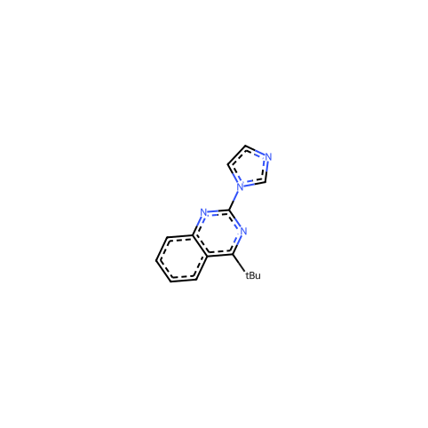 CC(C)(C)c1nc(-n2ccnc2)nc2ccccc12